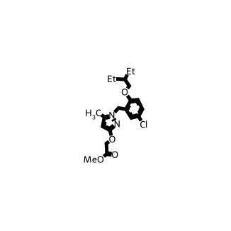 CCC(CC)COc1ccc(Cl)cc1Cn1nc(OCC(=O)OC)cc1C